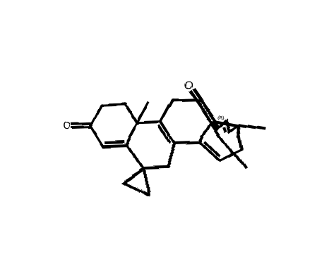 CC12CCC(=O)C=C1C1(CC1)CC1=C2CC[C@@]23C(=O)C=CC2(C)CC=C13